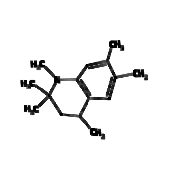 Cc1cc2c(cc1C)N(C)C(C)(C)CC2C